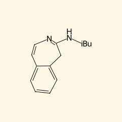 CCC(C)NC1=NC=Cc2ccccc2C1